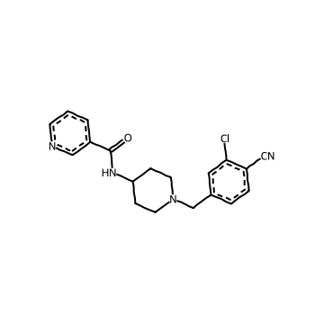 N#Cc1ccc(CN2CCC(NC(=O)c3cccnc3)CC2)cc1Cl